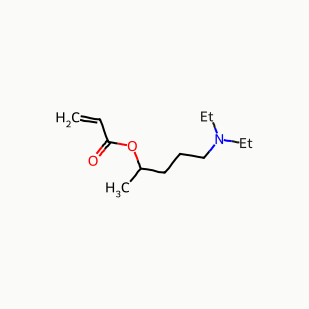 C=CC(=O)OC(C)CCCN(CC)CC